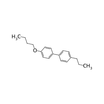 CCCCOc1ccc(-c2ccc(CCC)cc2)cc1